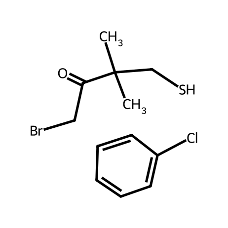 CC(C)(CS)C(=O)CBr.Clc1ccccc1